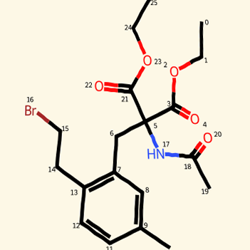 CCOC(=O)C(Cc1cc(C)ccc1CCBr)(NC(C)=O)C(=O)OCC